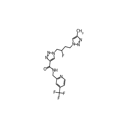 Cc1cn(CCC(F)Cn2cc(C(=O)NCc3cc(C(F)(F)F)ccn3)nn2)nn1